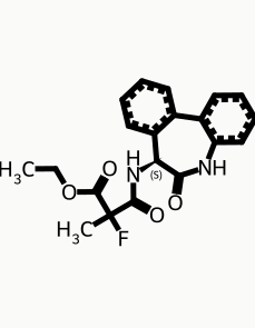 CCOC(=O)C(C)(F)C(=O)N[C@@H]1C(=O)Nc2ccccc2-c2ccccc21